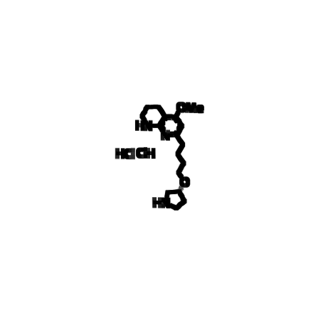 COc1cc(CCCCO[C@@H]2CCNC2)nc2c1CCCN2.Cl.Cl